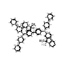 CC1(C)c2ccccc2-c2ccc(N(c3ccc(-c4ccccc4)cc3)c3ccc(-c4ccc(N(c5ccc(-c6ccccc6)cc5)c5ccc(-c6ccccc6)cc5)c5c4C(C)(C)c4ccccc4-5)cc3)cc21